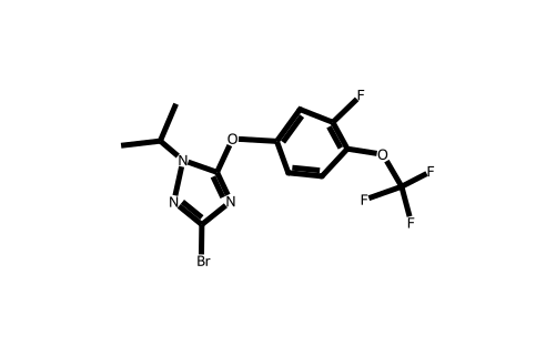 CC(C)n1nc(Br)nc1Oc1ccc(OC(F)(F)F)c(F)c1